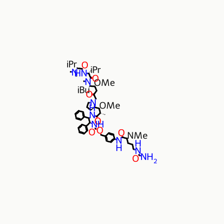 CC[C@@H](C)[C@H]([C@H](CC(=O)CN1CCC[C@@H]1[C@@H](OC)[C@H](C)C(=O)N[C@H](c1ccccc1)[C@@H](NC(=O)OCc1ccc(NC(=O)[C@H](CCCNC(N)=O)NC)cc1)c1ccccc1)OC)N(C)C(=O)[C@H](NC(=O)[C@@H](C(C)C)N(C)C)C(C)C